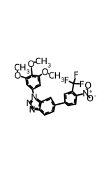 COc1cc(-n2nnc3ccc(-c4ccc([N+](=O)[O-])c(C(F)(F)F)c4)cc32)cc(OC)c1OC